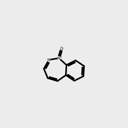 O=[n+]1ncccc2ccccc21